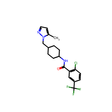 Cc1ccnn1CC1CCC(NC(=O)c2cc(C(F)(F)F)ccc2Cl)CC1